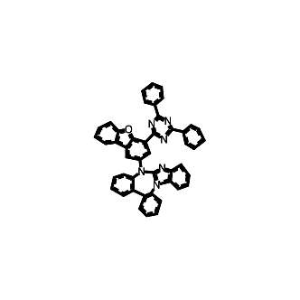 c1ccc(-c2nc(-c3ccccc3)nc(-c3cc(N4c5ccccc5-c5ccccc5-n5c4nc4ccccc45)cc4c3oc3ccccc34)n2)cc1